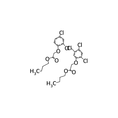 CCCCOC(=O)COc1cc(Cl)c(Cl)cc1Cl.CCCCOC(=O)COc1ccc(Cl)cc1Cl